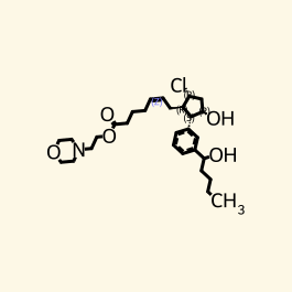 CCCCC(O)c1cccc([C@@H]2[C@@H](C/C=C\CCCC(=O)OCCN3CCOCC3)[C@H](Cl)C[C@H]2O)c1